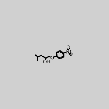 CC(C)C[C@H](O)COc1ccc([N+](=O)[O-])cc1